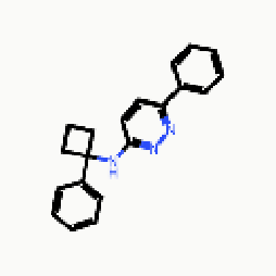 c1ccc(-c2ccc(NC3(c4ccccc4)CCC3)nn2)cc1